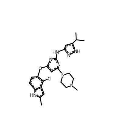 Cc1cc2c(Cl)c(Oc3cc(N4CCN(C)CC4)nc(Nc4cc(C(C)C)[nH]n4)n3)ccc2[nH]1